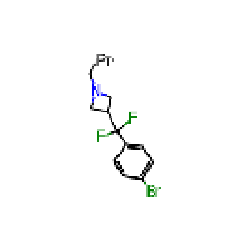 C[C](C)CN1CC(C(F)(F)c2ccc(Br)cc2)C1